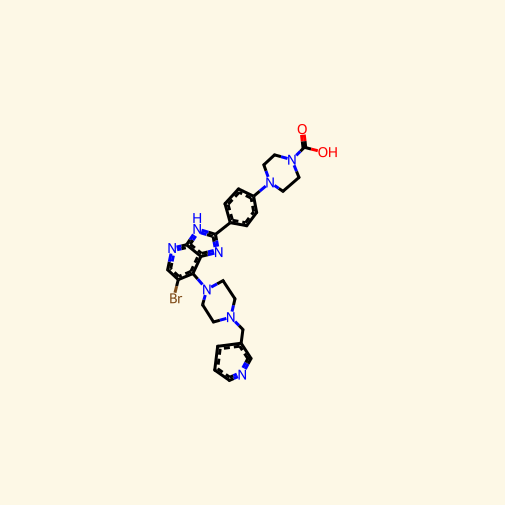 O=C(O)N1CCN(c2ccc(-c3nc4c(N5CCN(Cc6cccnc6)CC5)c(Br)cnc4[nH]3)cc2)CC1